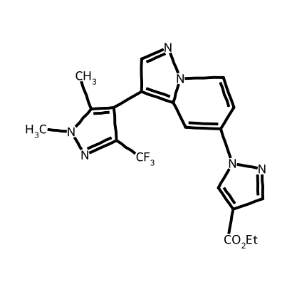 CCOC(=O)c1cnn(-c2ccn3ncc(-c4c(C(F)(F)F)nn(C)c4C)c3c2)c1